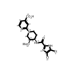 CCc1[nH]c(C(=O)N[C@@H]2CCN(c3cc(C(=O)O)ccn3)C[C@@H]2OC)nc1Cl